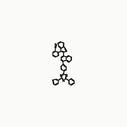 N#Cc1ccccc1-c1c(-c2ccc(-c3ccc(-c4nc(-c5ccccc5)nc(-c5ccccc5)n4)cc3)c3ccccc23)ccc2ccccc12